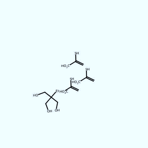 C=C(S)C(=O)O.C=C(S)C(=O)O.C=C(S)C(=O)O.CCC(CO)(CO)CO